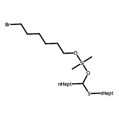 CCCCCCCSC(CCCCCCC)O[Si](C)(C)OCCCCCCBr